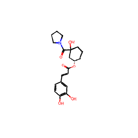 O=C(/C=C/c1ccc(O)c(O)c1)O[C@H]1CCCC(O)(C(=O)N2CCCC2)C1